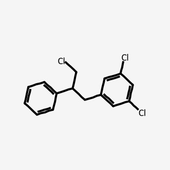 ClCC(Cc1cc(Cl)cc(Cl)c1)c1ccccc1